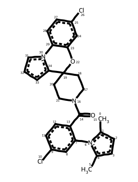 Cc1ccc(C)n1-c1cc(Cl)ccc1C(=O)N1CCC2(CC1)Oc1cc(Cl)ccc1-n1cccc12